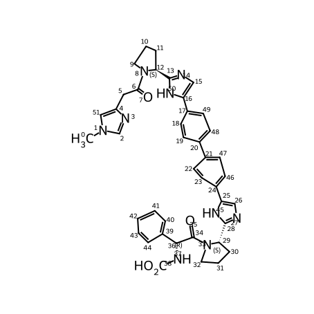 Cn1cnc(CC(=O)N2CCC[C@H]2c2ncc(-c3ccc(-c4ccc(-c5cnc([C@@H]6CCCN6C(=O)[C@H](NC(=O)O)c6ccccc6)[nH]5)cc4)cc3)[nH]2)c1